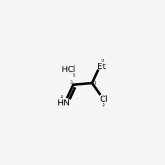 CCC(Cl)C=N.Cl